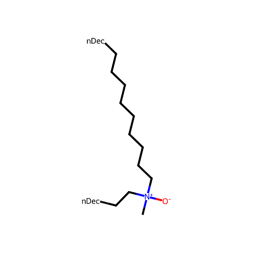 CCCCCCCCCCCCCCCCCCC[N+](C)([O-])CCCCCCCCCCCC